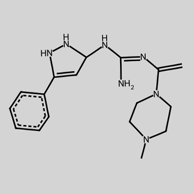 C=C(/N=C(\N)NC1C=C(c2ccccc2)NN1)N1CCN(C)CC1